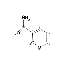 NC(=O)C1=CC=COO1